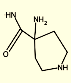 [NH]C(=O)C1(N)CCNCC1